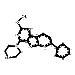 COc1nc(N2CCNCC2)c2sc3nc(-c4ccccc4)ccc3c2n1